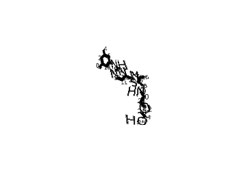 Cc1cc(C)cc(Nc2nccc(-c3nc(C)c(CNCCOCCO)s3)n2)c1